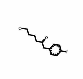 O=C(CCCCCl)Cc1ccc(F)cc1